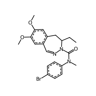 CCC1Cc2cc(OC)c(OC)cc2C=NN1C(=O)N(C)c1ccc(Br)cc1